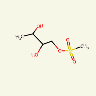 CC(O)C(O)COS(C)(=O)=O